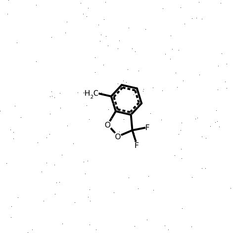 [CH2]c1cccc2c1OOC2(F)F